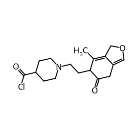 CC1=C2COC=C2CC(=O)C1CCN1CCC(C(=O)Cl)CC1